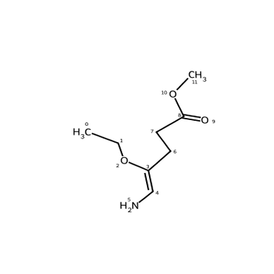 CCO/C(=C\N)CCC(=O)OC